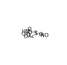 CC(=O)Oc1ccccc1C(=O)NC(=O)OCCSSCCON=O